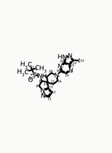 CC(C)(C)[S@@+]([O-])N[C@@H]1Cn2nccc2C12CCN(c1cnc3c(I)n[nH]c3n1)CC2